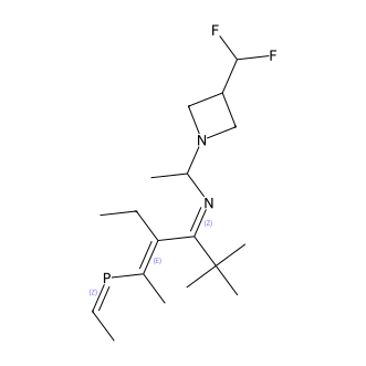 C\C=P/C(C)=C(CC)/C(=N\C(C)N1CC(C(F)F)C1)C(C)(C)C